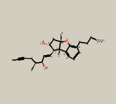 CC#CC[C@H](C)[C@H](O)/C=C/[C@@H]1[C@H]2c3cccc(CCCC(=O)O)c3O[C@H]2C[C@H]1O